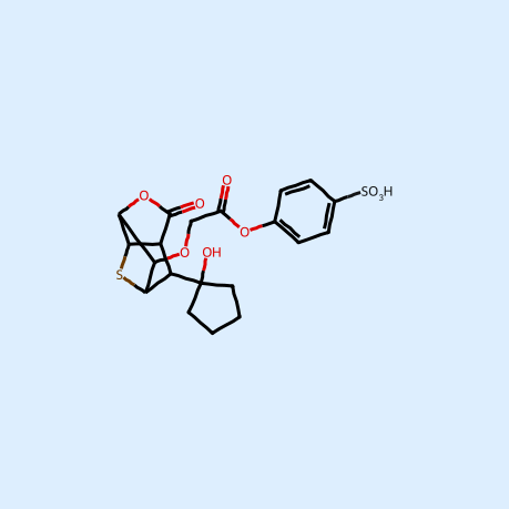 O=C(COC1C2OC(=O)C3C2SC1C3C1(O)CCCC1)Oc1ccc(S(=O)(=O)O)cc1